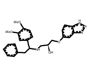 COc1ccc(C(Cc2ccccc2)NC[C@H](O)COc2ccc3[nH]nnc3c2)cc1OC